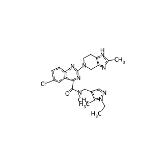 CCn1ncc(CN(C)C(=O)c2nc(N3CCc4[nH]c(C)nc4C3)nc3ccc(Cl)cc23)c1C